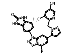 Cc1cc(C#N)cnc1Cn1nccc1-c1cc(F)c2nnn(-c3ccc4[nH]c(=O)[nH]c4c3)c2c1